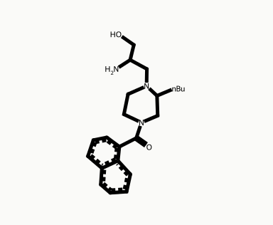 CCCCC1CN(C(=O)c2cccc3ccccc23)CCN1CC(N)CO